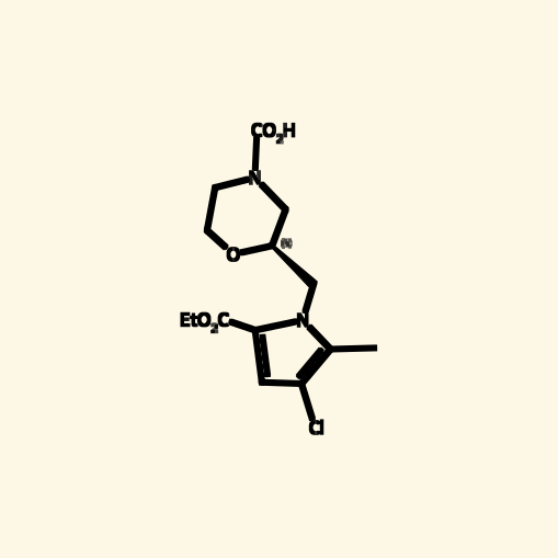 CCOC(=O)c1cc(Cl)c(C)n1C[C@@H]1CN(C(=O)O)CCO1